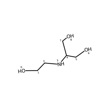 OCCNC(CO)CO